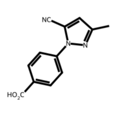 Cc1cc(C#N)n(-c2ccc(C(=O)O)cc2)n1